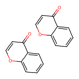 O=c1ccoc2ccccc12.O=c1ccoc2ccccc12